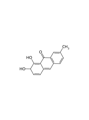 Cc1ccc2c(c1)C(=O)C1=C(O)C(O)C=CC1=C2